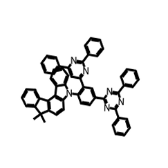 CC1(C)c2ccccc2-c2c1ccc1c2c2ccccc2n1-c1ccc(-c2nc(-c3ccccc3)nc(-c3ccccc3)n2)cc1-c1cc(-c2ccccc2)nc(-c2ccccc2)n1